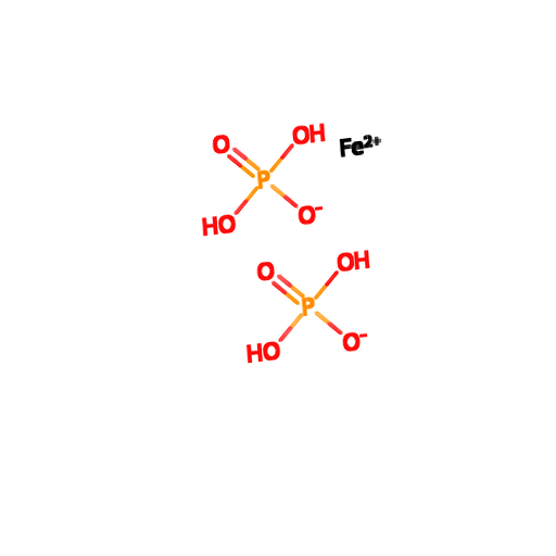 O=P([O-])(O)O.O=P([O-])(O)O.[Fe+2]